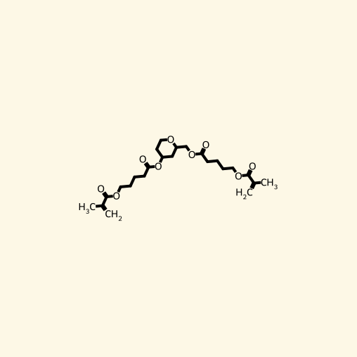 C=C(C)C(=O)OCCCCC(=O)OCC1CC(OC(=O)CCCCOC(=O)C(=C)C)CCO1